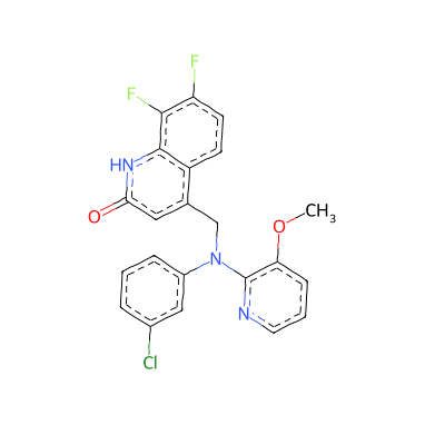 COc1cccnc1N(Cc1cc(=O)[nH]c2c(F)c(F)ccc12)c1cccc(Cl)c1